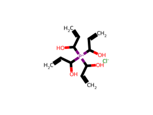 C=CC(O)[P+](C(O)C=C)(C(O)C=C)C(O)C=C.[Cl-]